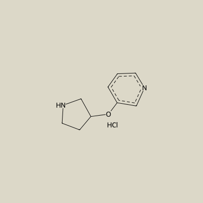 Cl.c1cncc(OC2CCNC2)c1